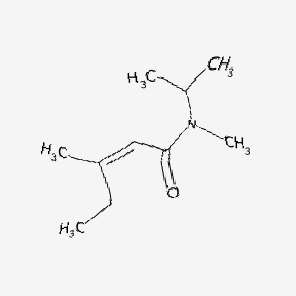 CC/C(C)=C\C(=O)N(C)C(C)C